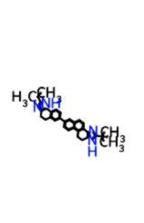 CC(C)c1nc2c([nH]1)CCc1c-2ccc2cc(-c3ccc4c(c3)CCc3nc(C(C)C)[nH]c3-4)ccc12